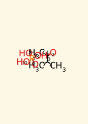 CC(=O)C(C)C.O=P(O)(O)O